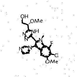 COc1cc2c(-n3ccnc3)c(-c3nnc([C@H](CO)OC)[nH]3)n(C)c2c(F)c1Cl